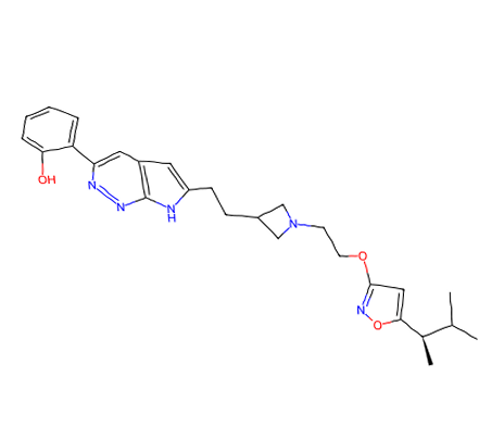 CC(C)[C@@H](C)c1cc(OCCN2CC(CCc3cc4cc(-c5ccccc5O)nnc4[nH]3)C2)no1